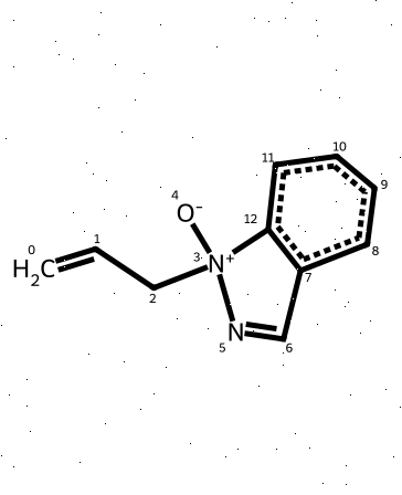 C=CC[N+]1([O-])N=Cc2ccccc21